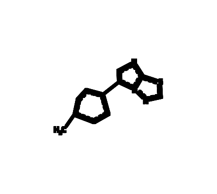 Cc1ccc(-c2cnc3scnn23)cc1